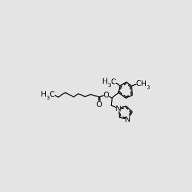 CCCCCCCC(=O)OC(Cn1ccnc1)c1ccc(C)cc1C